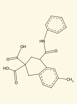 Cc1ccc2c(c1)C(C(=O)Nc1ccccc1)CC(C(=O)O)(C(=O)O)C2